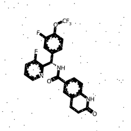 O=C1CCc2cc(C(=O)N[C@@H](c3ccc(OC(F)(F)F)c(F)c3)c3ncccc3F)ccc2N1